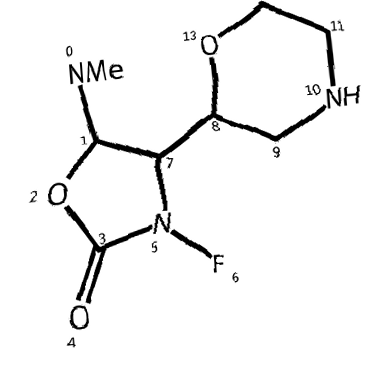 CNC1OC(=O)N(F)C1C1CNCCO1